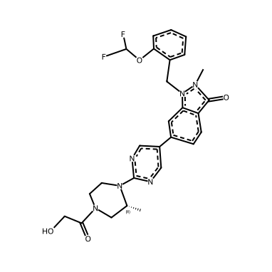 C[C@@H]1CN(C(=O)CO)CCN1c1ncc(-c2ccc3c(=O)n(C)n(Cc4ccccc4OC(F)F)c3c2)cn1